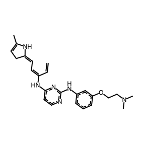 C=C/C(=C\C=C1/CC=C(C)N1)Nc1ccnc(Nc2cccc(OCCN(C)C)c2)n1